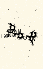 C=C1CCC(CC(=O)NO)(NC(=O)c2ccc(OCc3cc(C)nc4ccccc34)cc2)CC1